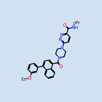 CCCNC(=O)c1ccc(N2CCN(C(=O)c3ccc(-c4cccc(OCC)c4)c4ccccc34)CC2)nn1